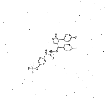 O=C(NN=C(c1ccc(F)cc1)c1cn[nH]c1-c1ccc(F)cc1)Nc1ccc(OC(F)(F)F)cc1